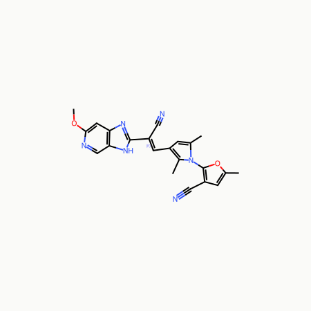 COc1cc2nc(/C(C#N)=C/c3cc(C)n(-c4oc(C)cc4C#N)c3C)[nH]c2cn1